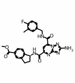 COC(=O)c1ccc2c(c1)CC[C@@H]2NC(=O)c1cc(C(=O)NCc2ccc(F)c(C)c2)n2nc(N)nc2n1